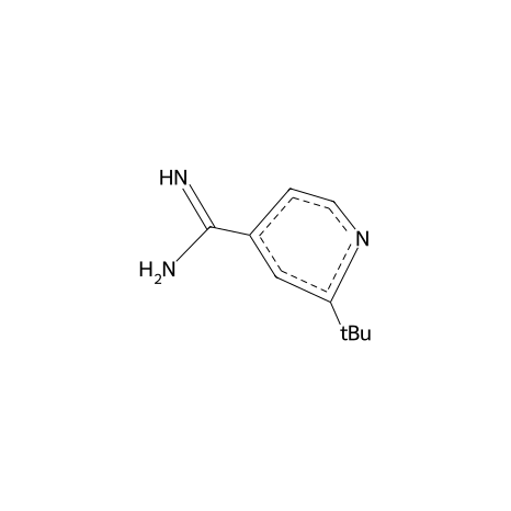 CC(C)(C)c1cc(C(=N)N)ccn1